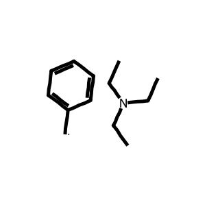 CCN(CC)CC.[CH2]c1ccccc1